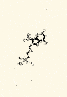 C[Si](C)(C)CCOCn1nc2c(Br)cc(Cl)nc2c1[N+](=O)[O-]